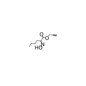 C#CCOC(=O)C(CCCC)=NO